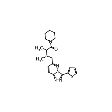 CC(C(=O)N1CCCCC1)N(C)Cc1ccc2nnc(-c3cccs3)n2n1